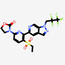 CCS(=O)(=O)c1ccc(N2CCOC2=O)nc1-c1cc2cnn(CC(F)(F)C(F)(F)F)c2cn1